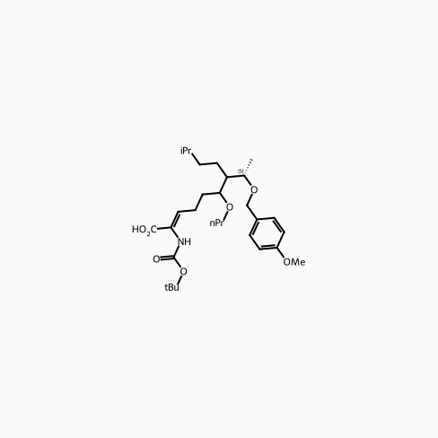 CCCOC(CCC=C(NC(=O)OC(C)(C)C)C(=O)O)C(CCC(C)C)[C@H](C)OCc1ccc(OC)cc1